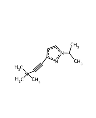 CC(C)n1ccc(C#C[Si](C)(C)C)n1